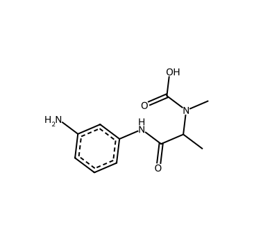 CC(C(=O)Nc1cccc(N)c1)N(C)C(=O)O